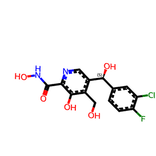 O=C(NO)c1ncc([C@@H](O)c2ccc(F)c(Cl)c2)c(CO)c1O